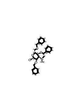 CC(=O)N(C)[C@H]1[C@@H](OCc2ccccc2)[C@@H](Cl)O[C@H](COCc2ccccc2)[C@H]1OCc1ccccc1